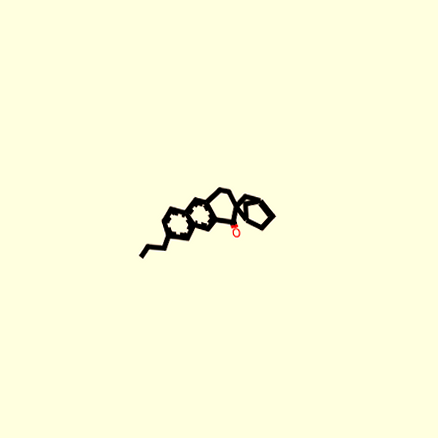 CCCc1ccc2cc3c(cc2c1)C(=O)C1(CC3)CC2=CCC1C2